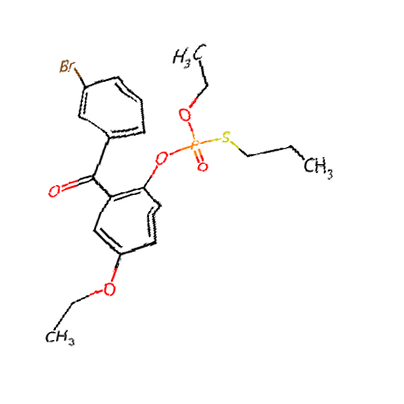 CCCSP(=O)(OCC)Oc1ccc(OCC)cc1C(=O)c1cccc(Br)c1